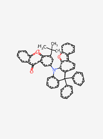 CC(C)(C)c1cc(N2c3ccccc3C(c3ccccc3)(c3ccccc3)c3ccc4c(oc5ccccc54)c32)cc2c(=O)c3ccccc3oc12